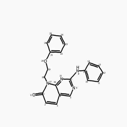 O=c1ccc2cnc(Nc3ccccc3)nc2n1CCOc1ccccc1